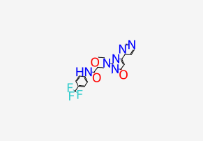 Cn1c(N2CCOC(C(=O)Nc3ccc(C(F)(F)F)cc3)C2)nc(-c2ccncn2)cc1=O